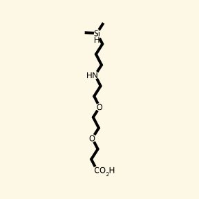 C[SiH](C)CCCNCCOCCOCCC(=O)O